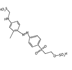 Cc1cc(NCS(=O)(=O)O)ccc1/N=N/c1ccc(S(=O)(=O)CCOS(=O)(=O)O)cc1